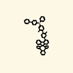 Cc1cc(-c2cccc3c2-c2ccccc2C32c3ccccc3-c3ccccc3-c3ccccc32)ccc1-c1ccc(N(c2ccccc2)c2ccc(-c3ccccc3)cc2)cc1C